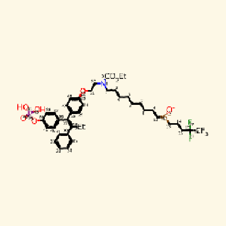 CCOC(=O)N(CCCCCCCCC[S+]([O-])CCCC(F)(F)C(F)(F)F)CCOc1ccc(/C(=C(\CC)c2ccccc2)c2ccc(OP(=O)(O)O)cc2)cc1